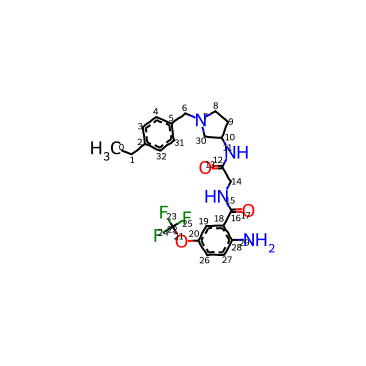 CCc1ccc(CN2CCC(NC(=O)CNC(=O)c3cc(OC(F)(F)F)ccc3N)C2)cc1